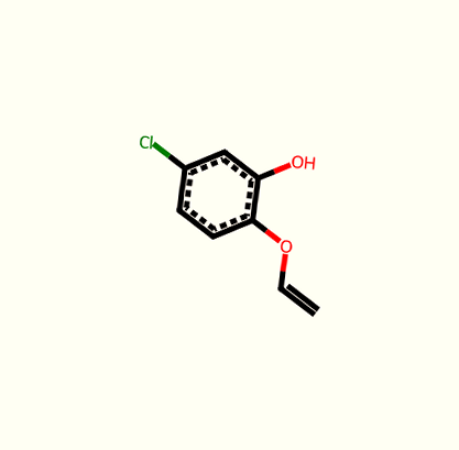 C=COc1ccc(Cl)cc1O